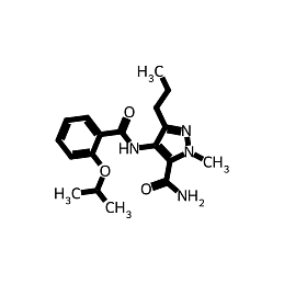 CCCc1nn(C)c(C(N)=O)c1NC(=O)c1ccccc1OC(C)C